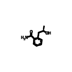 C[C@@H](O)Cc1ccccc1C(N)=O